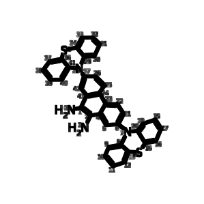 Nc1c(N)c2cc(N3c4ccccc4Sc4ccccc43)ccc2c2ccc(N3c4ccccc4Sc4ccccc43)cc12